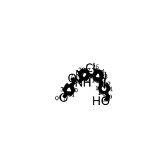 COc1ccc(C(=O)Nc2cc(-c3cc(N4CCC(CO)CC4)ncc3Cl)ccn2)cc1